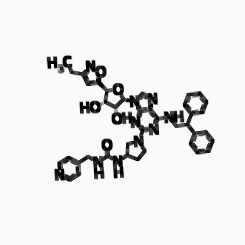 CCc1cc([C@H]2O[C@@H](n3cnc4c(NCC(c5ccccc5)c5ccccc5)nc(N5CCC(NC(=O)NCc6ccncc6)C5)nc43)[C@H](O)[C@@H]2O)on1